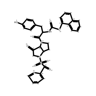 O=C(NC(Cc1ccc(O)cc1)C(=O)N1CCC2C1C(=O)CN2S(=O)(=O)C(=O)c1ccccn1)Oc1cccc2ccccc12